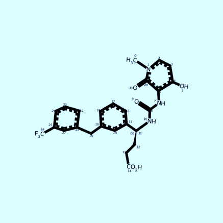 Cn1ccc(O)c(NC(=O)N[C@@H](CCC(=O)O)c2cccc(Cc3cccc(C(F)(F)F)c3)c2)c1=O